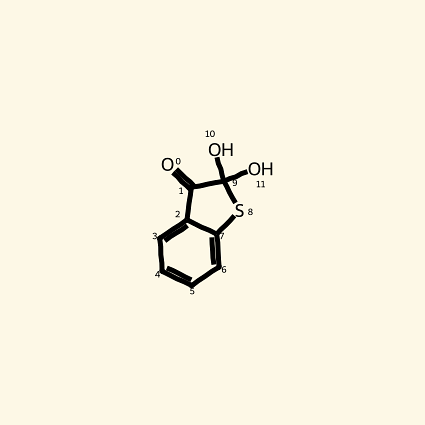 O=C1c2ccccc2SC1(O)O